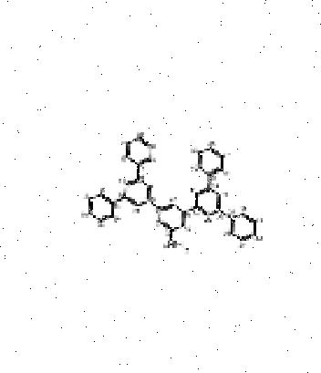 Nc1cc(-c2cc(-c3ccccc3)cc(-c3ccccc3)c2)cc(-c2cc(-c3ccccc3)cc(-c3ccccc3)c2)c1